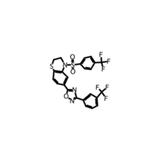 O=S(=O)(c1ccc(C(F)(F)F)cc1)N1CCSc2ccc(-c3nc(-c4cccc(C(F)(F)F)c4)no3)cc21